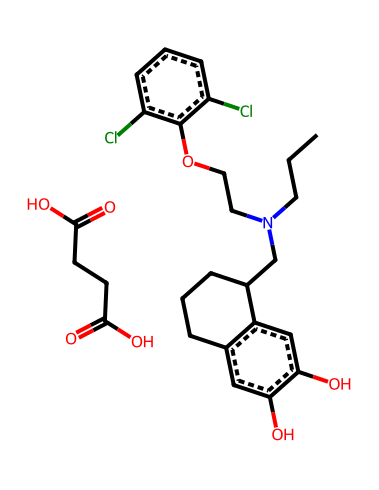 CCCN(CCOc1c(Cl)cccc1Cl)CC1CCCc2cc(O)c(O)cc21.O=C(O)CCC(=O)O